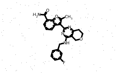 Cc1oc2c(C(N)=O)cccc2c1-c1nc2c(c(NCc3cccc(F)c3)n1)COCC2